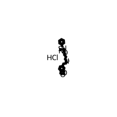 CN(CCCOc1nsc(-c2ccccc2)n1)CCc1ccc2c(c1)OOC2.Cl